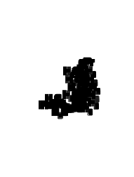 Cc1c(C)c2c(c(C)c1OC(=O)C(C)(C)CCC(C)(C)C(=O)OC(C)(C)CCOC(C)C)CCC(C)(CCCC(C)CCCC(C)CCCC(C)C)O2